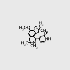 COc1cc2c(c3c1OC(C)(C)C3)C(c1cc[nH]c(=O)c1)=NC(C)(C)C2